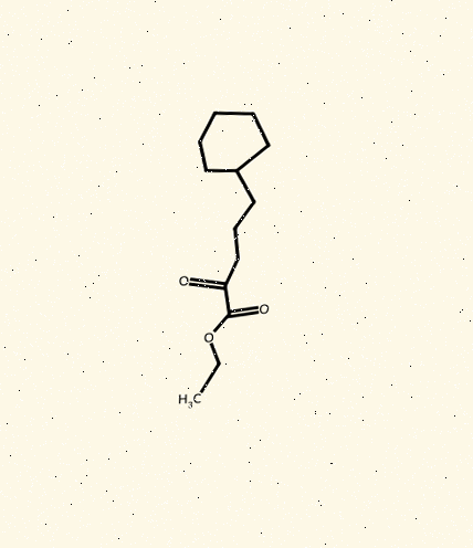 CCOC(=O)C(=O)CCCC1CCCCC1